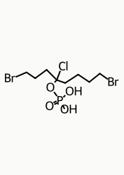 O=P(O)(O)OC(Cl)(CCCBr)CCCCBr